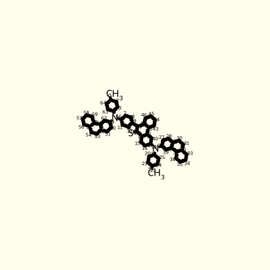 Cc1ccc(N(c2ccc3c(c2)sc2c4ccc(N(c5ccc(C)cc5)c5ccc6ccc7ccccc7c6c5)cc4c4ccccc4c32)c2ccc3ccc4ccccc4c3c2)cc1